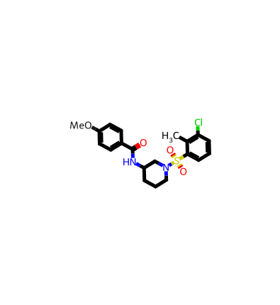 COc1ccc(C(=O)NC2CCCN(S(=O)(=O)c3cccc(Cl)c3C)C2)cc1